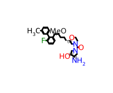 CO[C@@H](CCCC[C@H]1CN(C(=O)N2C[C@@H](N)[C@@H](O)C2)CCO1)c1cccc(F)c1-c1cccc(C)c1